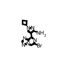 Nc1nn(C2CCC2)cc1-c1nc(Br)cn2ncnc12